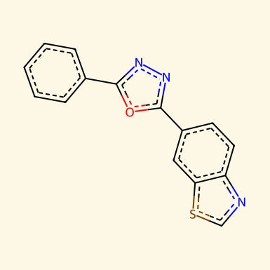 c1ccc(-c2nnc(-c3ccc4ncsc4c3)o2)cc1